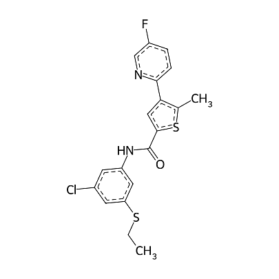 CCSc1cc(Cl)cc(NC(=O)c2cc(-c3ccc(F)cn3)c(C)s2)c1